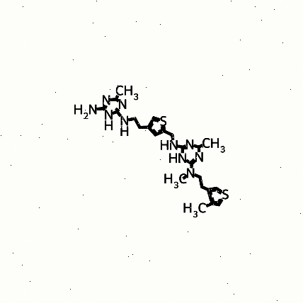 Cc1cscc1CCN(C)C1=NC(C)N=C(NCc2cc(CCNC3=NC(C)N=C(N)N3)cs2)N1